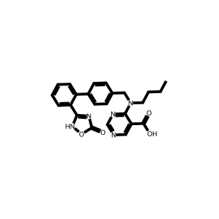 CCCCN(Cc1ccc(-c2ccccc2-c2nc(=O)o[nH]2)cc1)c1ncncc1C(=O)O